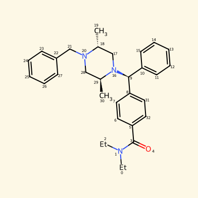 CCN(CC)C(=O)c1ccc([C@H](c2ccccc2)N2C[C@@H](C)N(Cc3ccccc3)C[C@@H]2C)cc1